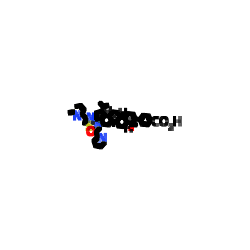 C=C/N=C(\C=C/C)c1csc(N(CC(=O)c2ccccn2)[C@]23CC[C@@H](C(=C)C)[C@@H]2[C@H]2CC[C@@H]4[C@@]5(C)CC=C(c6ccc(C(=O)O)cc6)C(C)(C)[C@@H]5CC[C@@]4(C)[C@]2(C)CC3)n1